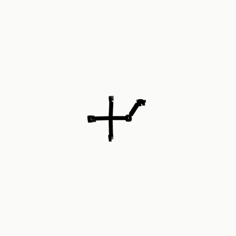 CCC(F)(F)OC(C)C